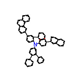 c1ccc(-c2ccc(N(c3ccc(-c4ccc5ccccc5c4)cc3)c3ccc(-c4ccc5ccc6ccccc6c5c4)cc3-c3ccccc3)cc2-c2ccccc2)cc1